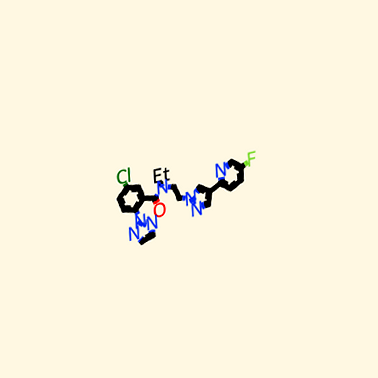 CCN(CCn1cc(-c2ccc(F)cn2)cn1)C(=O)c1cc(Cl)ccc1-n1nccn1